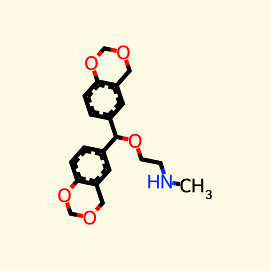 CNCCOC(c1ccc2c(c1)COCO2)c1ccc2c(c1)COCO2